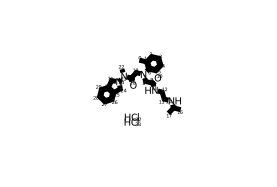 Cc1ccccc1N(CC(=O)NCCNC(C)C)CC(=O)N(C)N1Cc2ccccc2C1.Cl.Cl